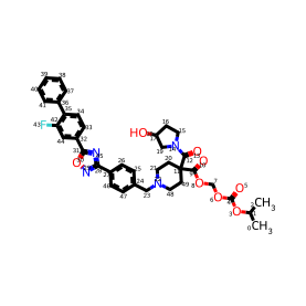 CC(C)OC(=O)OCOC(=O)C1(C(=O)N2CCC(O)C2)CCN(Cc2ccc(-c3noc(-c4ccc(-c5ccccc5)c(F)c4)n3)cc2)CC1